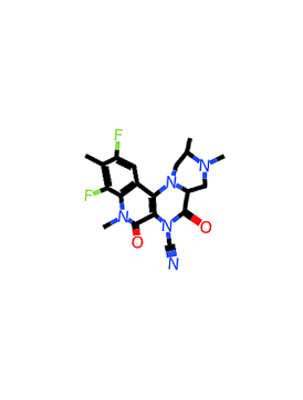 Cc1c(F)cc2c3c(c(=O)n(C)c2c1F)N(C#N)C(=O)C1CN(C)C(C)CN31